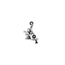 Cc1cc(Nc2nc(Sc3ccc(NC(=O)C4CC4)cc3)nc(C(=O)OCCN3CCCCC3)c2N)n[nH]1